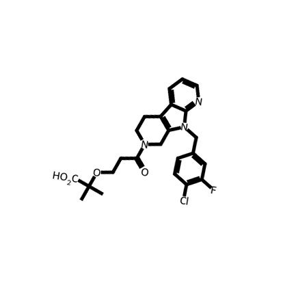 CC(C)(OCCC(=O)N1CCc2c(n(Cc3ccc(Cl)c(F)c3)c3ncccc23)C1)C(=O)O